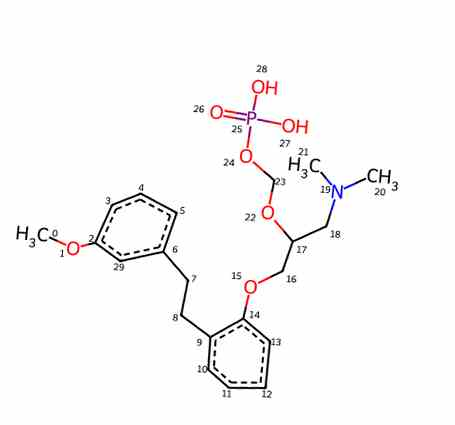 COc1cccc(CCc2ccccc2OCC(CN(C)C)OCOP(=O)(O)O)c1